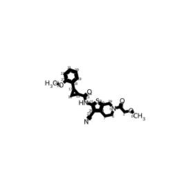 COCC(=O)N1CCc2c(sc(NC(=O)C3CC3c3ccccc3OC)c2C#N)C1